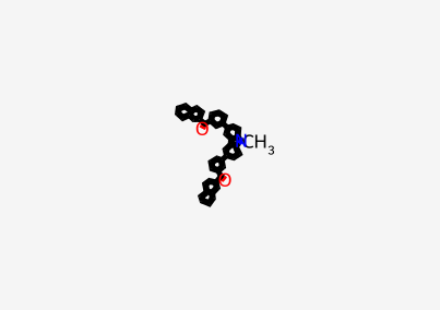 Cn1c2ccc(-c3cccc(C(=O)c4ccc5ccccc5c4)c3)cc2c2cc(-c3cccc(C(=O)c4ccc5ccccc5c4)c3)ccc21